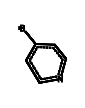 [B]c1ccncc1